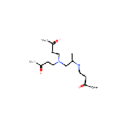 COC(=O)CCNC(C)CN(CCC(=O)OC)CCC(=O)OC